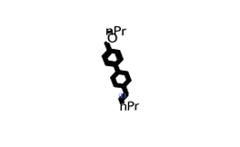 CCC/C=C/C1CCC(c2ccc(COCCC)cc2)CC1